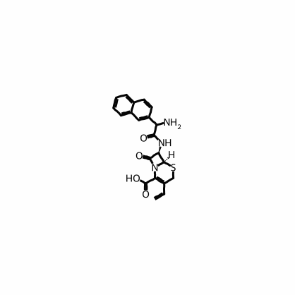 C=CC1=C(C(=O)O)N2C(=O)[C@@H](NC(=O)C(N)c3ccc4ccccc4c3)[C@H]2SC1